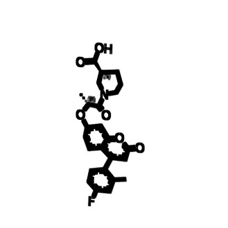 Cc1cc(F)ccc1-c1cc(=O)oc2cc(O[C@H](C)C(=O)N3CCC[C@H](C(=O)O)C3)ccc12